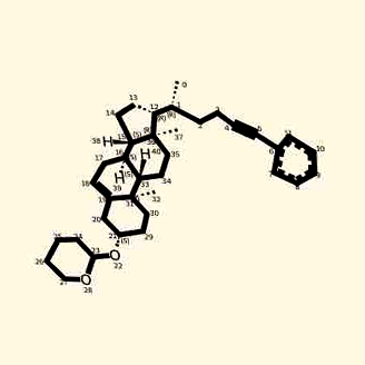 C[C@H](CCC#Cc1ccccc1)[C@H]1CC[C@H]2[C@@H]3CC=C4C[C@@H](OC5CCCCO5)CC[C@]4(C)[C@H]3CC[C@]12C